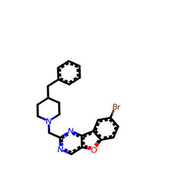 Brc1ccc2oc3cnc(CN4CCC(Cc5ccccc5)CC4)nc3c2c1